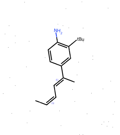 C/C=C\C=C(/C)c1ccc(N)c(C(C)(C)C)c1